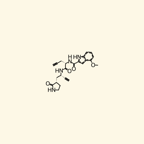 C#CC[C@H](NC(=O)c1cc2c(OC)cccc2[nH]1)C(=O)N[C@H](C#C)C[C@@H]1CCNC1=O